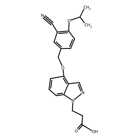 CC(C)Oc1ccc(COc2cccc3c2cnn3CCC(=O)O)cc1C#N